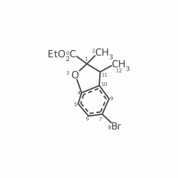 CCOC(=O)C1(C)Oc2ccc(Br)cc2C1C